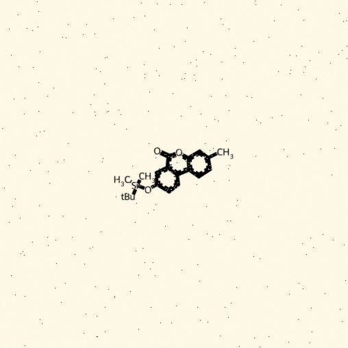 Cc1ccc2c(c1)oc(=O)c1cc(O[Si](C)(C)C(C)(C)C)ccc12